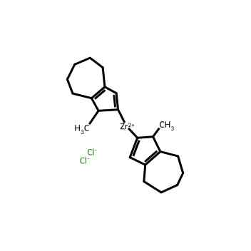 CC1[C]([Zr+2][C]2=CC3=C(CCCCC3)C2C)=CC2=C1CCCCC2.[Cl-].[Cl-]